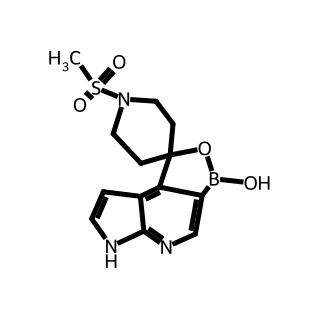 CS(=O)(=O)N1CCC2(CC1)OB(O)c1cnc3[nH]ccc3c12